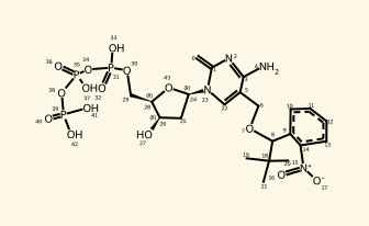 C=C1N=C(N)C(COC(c2ccccc2[N+](=O)[O-])C(C)(C)C)=CN1[C@H]1C[C@@H](O)[C@@H](COP(=O)(O)OP(=O)(O)OP(=O)(O)O)O1